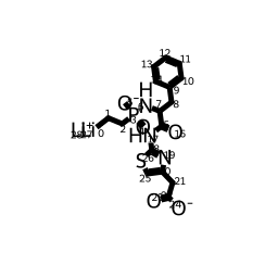 CCCP(=O)([O-])NC(Cc1ccccc1)C(=O)Nc1nc(CC(=O)[O-])cs1.[Li+].[Li+]